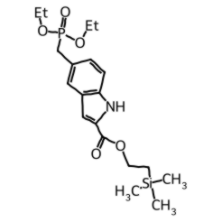 CCOP(=O)(Cc1ccc2[nH]c(C(=O)OCC[Si](C)(C)C)cc2c1)OCC